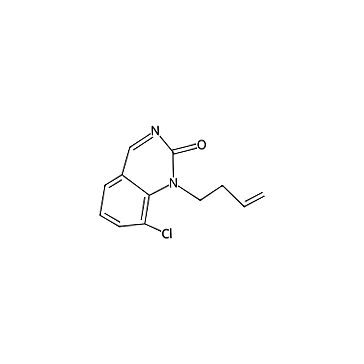 C=CCCn1c(=O)ncc2cccc(Cl)c21